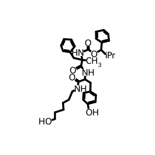 CC(C)C(OC(=O)NC(C)(Cc1ccccc1)C(=O)NC(Cc1ccc(O)cc1)C(=O)NCCCCCCO)c1ccccc1